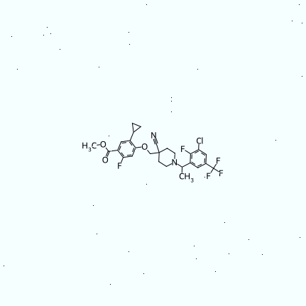 COC(=O)c1cc(C2CC2)c(OCC2(C#N)CCN(C(C)c3cc(C(F)(F)F)cc(Cl)c3F)CC2)cc1F